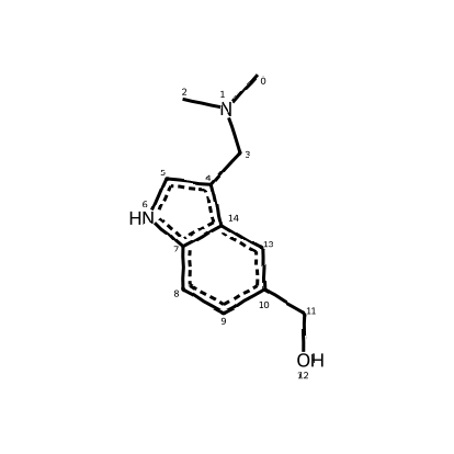 CN(C)Cc1c[nH]c2ccc(CO)cc12